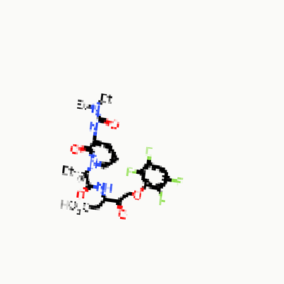 CC[C@@H](C(=O)NC(CC(=O)O)C(=O)COc1c(F)c(F)cc(F)c1F)n1cccc(NC(=O)N(CC)CC)c1=O